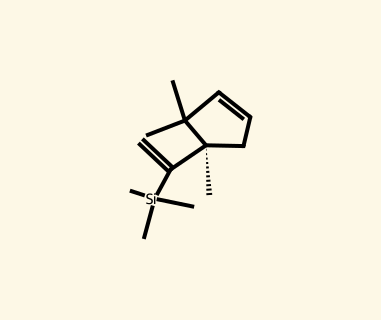 C=C([C@]1(C)CC=CC1(C)C)[Si](C)(C)C